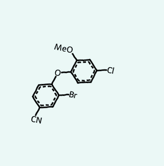 COc1cc(Cl)ccc1Oc1ccc(C#N)cc1Br